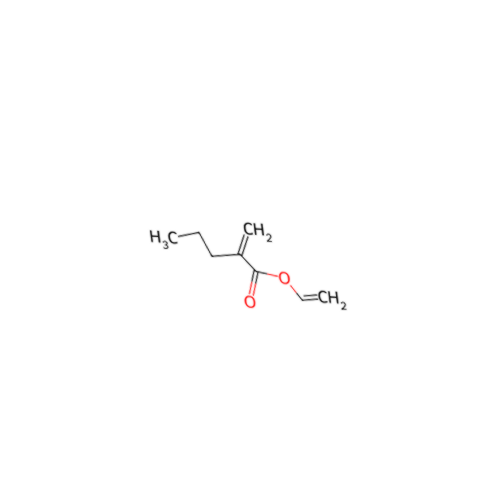 C=COC(=O)C(=C)CCC